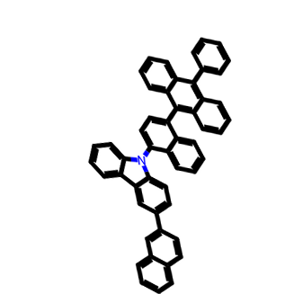 c1ccc(-c2c3ccccc3c(-c3ccc(-n4c5ccccc5c5cc(-c6ccc7ccccc7c6)ccc54)c4ccccc34)c3ccccc23)cc1